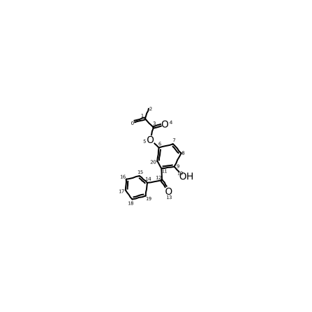 C=C(C)C(=O)Oc1ccc(O)c(C(=O)c2ccccc2)c1